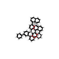 CC12C=CC=CC1C=CC=C2c1ccc(N(c2ccc(-c3ccccc3)cc2-c2ccccc2)c2ccccc2-c2cccc3cccc(C4CCCCC4)c23)cc1